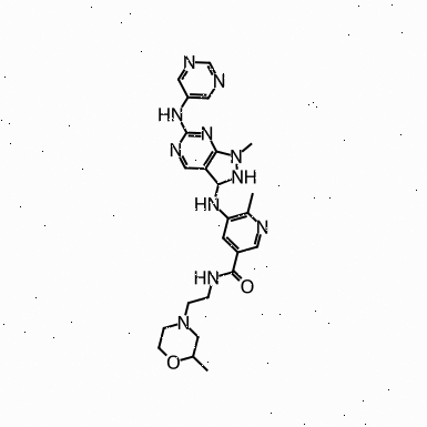 Cc1ncc(C(=O)NCCN2CCOC(C)C2)cc1NC1NN(C)c2nc(Nc3cncnc3)ncc21